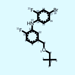 CC(C)(C)COCc1ccc(F)c(Nc2ccc(Br)cc2F)c1